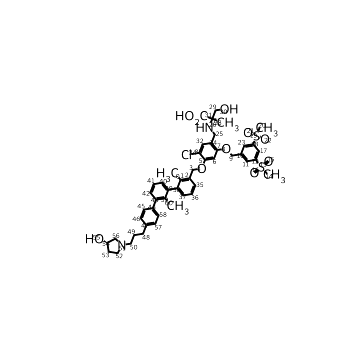 Cc1c(COc2cc(OCc3cc(S(C)(=O)=O)cc(S(C)(=O)=O)c3)c(CNC(C)(CO)C(=O)O)cc2Cl)cccc1-c1cccc(-c2ccc(CCCN3CC[C@@H](O)C3)cc2)c1C